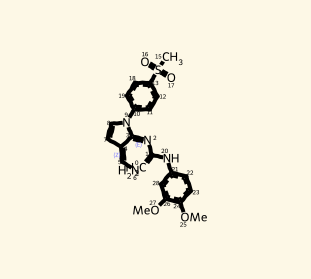 C=C(/N=C1\C(=C/N)C=CN1c1ccc(S(C)(=O)=O)cc1)Nc1ccc(OC)c(OC)c1